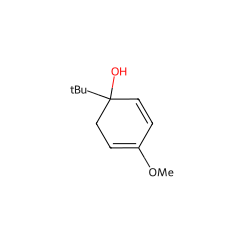 COC1=CCC(O)(C(C)(C)C)C=C1